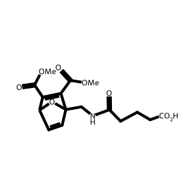 COC(=O)C1=C(C(=O)OC)C2(CNC(=O)CCCC(=O)O)C=CC1O2